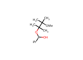 COC(C)(C)C(C)(C)OB(O)C(C)C